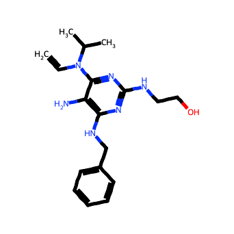 C=CN(c1nc(NCCO)nc(NCc2ccccc2)c1N)C(C)C